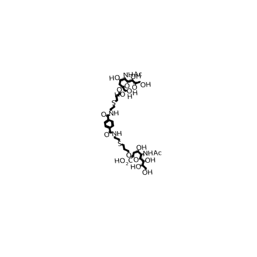 CC(=O)N[C@H]1[C@H]([C@H](O)[C@H](O)CO)O[C@@](OCCCSCCNC(=O)c2ccc(C(=O)NCCSCCCO[C@]3(C(O)O)C[C@H](O)[C@@H](NC(C)=O)[C@H]([C@H](O)[C@H](O)CO)O3)cc2)(C(=O)O)C[C@@H]1O